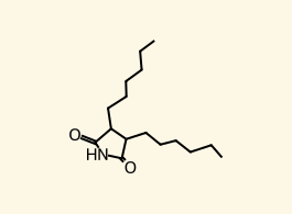 CCCCCCC1C(=O)NC(=O)C1CCCCCC